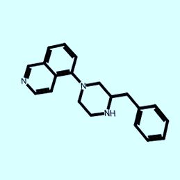 c1ccc(CC2CN(c3cccc4cnccc34)CCN2)cc1